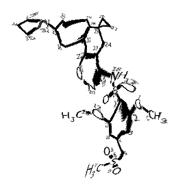 COc1cc(CS(C)(=O)=O)cc(OC)c1S(=O)(=O)Nc1noc2c1CC1(CC1)c1ccc(N3CCC3)cc1-2